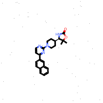 CC1(C)OC(=O)N[C@@H]1C1CCN(c2nccc(-c3ccc4ccccc4c3)n2)CC1